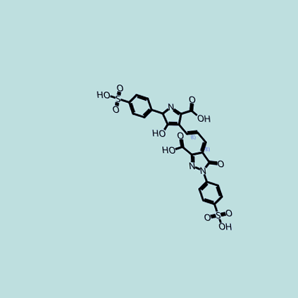 O=C(O)C1=NC(c2ccc(S(=O)(=O)O)cc2)C(O)=C1/C=C/C=C1/C(=O)N(c2ccc(S(=O)(=O)O)cc2)N=C1C(=O)O